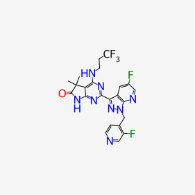 CC1(C)C(=O)Nc2nc(-c3nn(Cc4ccncc4F)c4ncc(F)cc34)nc(NCCC(F)(F)F)c21